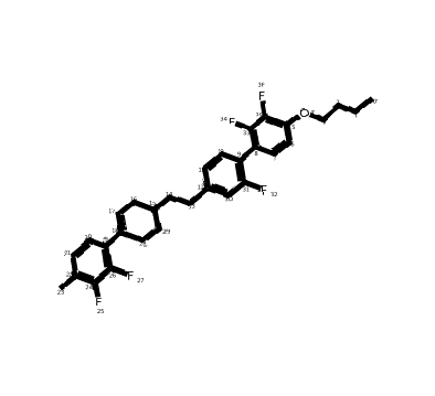 CCCCOc1ccc(-c2ccc(CCC3CC=C(c4ccc(C)c(F)c4F)CC3)cc2F)c(F)c1F